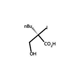 CCCC[C@@](I)(CO)C(=O)O